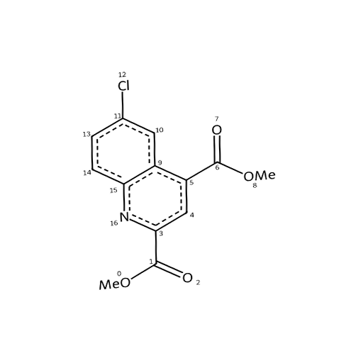 COC(=O)c1cc(C(=O)OC)c2cc(Cl)ccc2n1